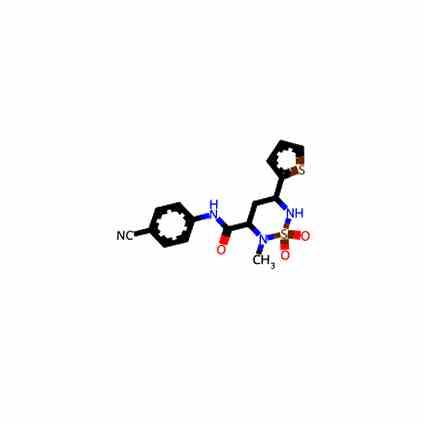 CN1C(C(=O)Nc2ccc(C#N)cc2)CC(c2cccs2)NS1(=O)=O